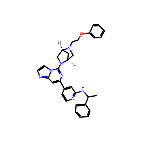 CC(Nc1cc(-c2cc3nccn3c(N3C[C@@H]4C[C@H]3CN4CCOc3ccccc3)n2)ccn1)c1ccccc1